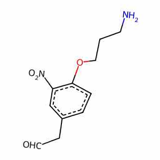 NCCCOc1ccc(CC=O)cc1[N+](=O)[O-]